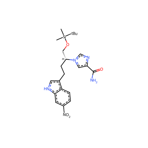 CC(C)(C)[Si](C)(C)OC[C@@H](CCc1c[nH]c2cc([N+](=O)[O-])ccc12)n1cnc(C(N)=O)c1